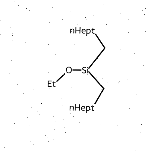 CCCCCCCC[Si](CCCCCCCC)OCC